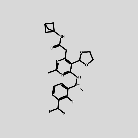 Cc1nc(CC(=O)NC23CC(C2)C3)c(C2OCCO2)c(N[C@H](C)c2cccc(C(F)F)c2F)n1